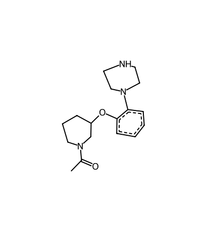 CC(=O)N1CCCC(Oc2ccccc2N2CCNCC2)C1